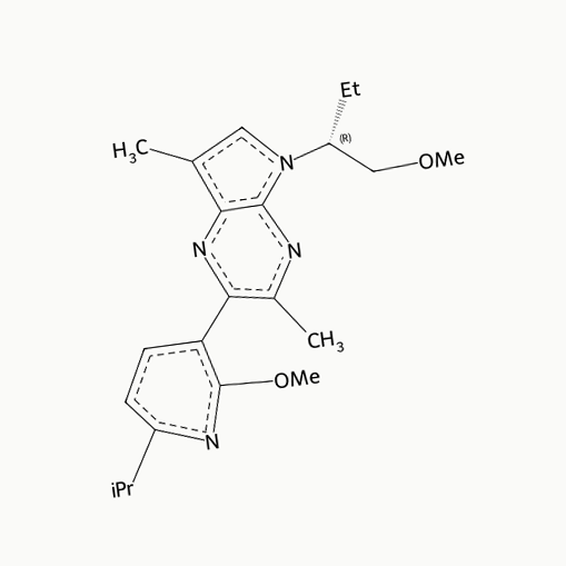 CC[C@H](COC)n1cc(C)c2nc(-c3ccc(C(C)C)nc3OC)c(C)nc21